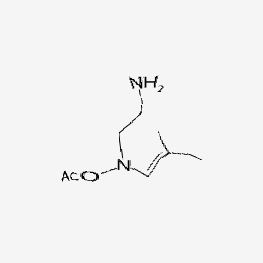 CC(=O)ON(C=C(C)C)CCN